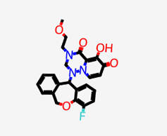 COCCN1CN(C2c3ccccc3COc3c(F)cccc32)n2ccc(=O)c(O)c2C1=O